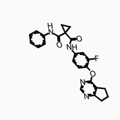 O=C(Nc1ccccc1)C1(C(=O)Nc2ccc(Oc3ncnc4c3CCC4)c(F)c2)CC1